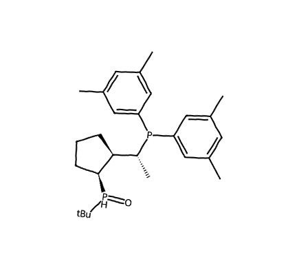 Cc1cc(C)cc(P(c2cc(C)cc(C)c2)[C@H](C)[C@@H]2CCC[C@@H]2[PH](=O)C(C)(C)C)c1